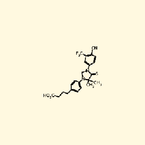 CC1(C)C(=S)N(c2ccc(C#N)c(C(F)(F)F)c2)CN1c1ccc(CCCC(=O)O)cc1